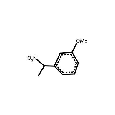 COc1cccc(C(C)[N+](=O)[O-])c1